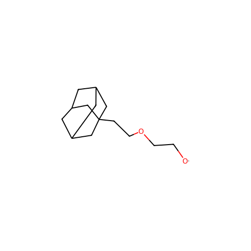 [O]CCOCCC12CC3CC(CC(C3)C1)C2